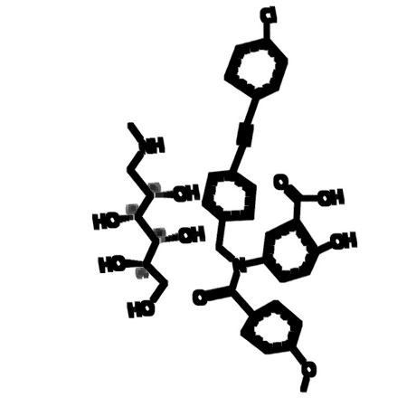 CNC[C@H](O)[C@@H](O)[C@H](O)[C@H](O)CO.COc1ccc(C(=O)N(Cc2ccc(C#Cc3ccc(Cl)cc3)cc2)c2ccc(O)c(C(=O)O)c2)cc1